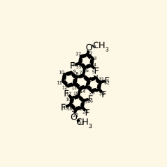 COc1cc(F)c(-c2c3ccccc3c(-c3c(F)c(F)c(OC)c(F)c3F)c3cc(F)c(F)cc23)c(F)c1